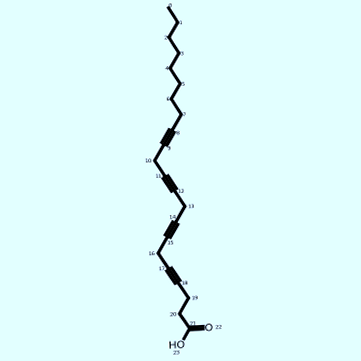 CCCCCCCCC#CCC#CCC#CCC#CCCC(=O)O